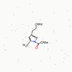 COCCc1cc(C)n(C(=O)OC)c1